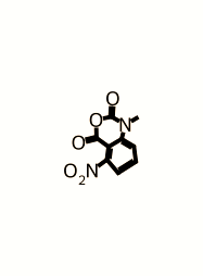 Cn1c(=O)oc(=O)c2c([N+](=O)[O-])cccc21